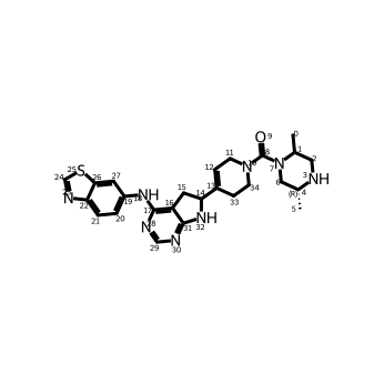 CC1CN[C@H](C)CN1C(=O)N1CC=C(C2Cc3c(Nc4ccc5ncsc5c4)ncnc3N2)CC1